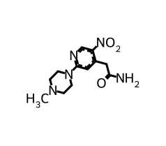 CN1CCN(c2cc(CC(N)=O)c([N+](=O)[O-])cn2)CC1